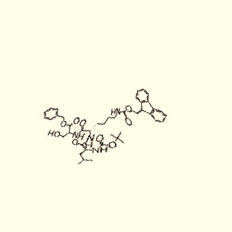 CC(C)C[C@H](NC(=O)OC(C)(C)C)C(=O)N[C@@H](CCCCNC(=O)OCC1c2ccccc2-c2ccccc21)C(=O)N[C@@H](CO)C(=O)OCc1ccccc1